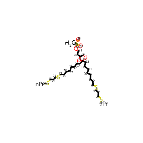 CCCSCCCSCCCCCCCCC1(CCCCCCCCSCCCSCCC)OCC(CCOS(C)(=O)=O)O1